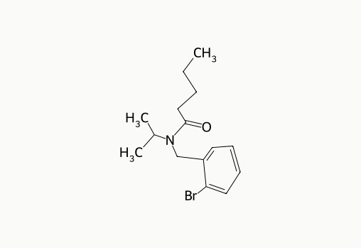 CCCCC(=O)N(Cc1ccccc1Br)C(C)C